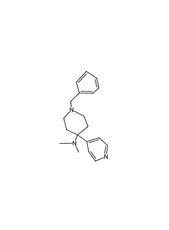 CN(C)C1(c2ccncc2)CCN(Cc2ccccc2)CC1